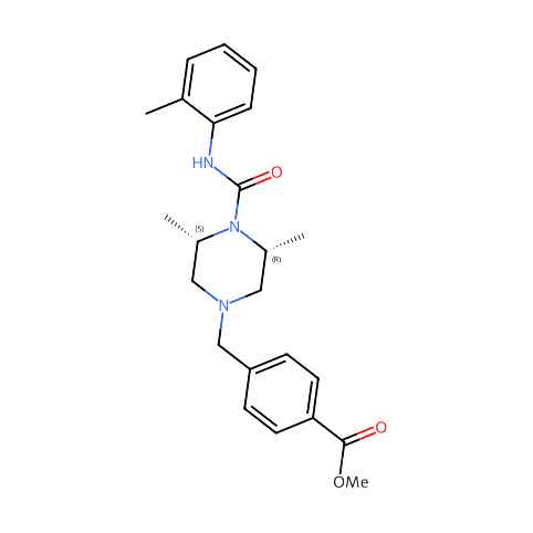 COC(=O)c1ccc(CN2C[C@@H](C)N(C(=O)Nc3ccccc3C)[C@@H](C)C2)cc1